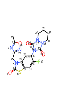 Cc1nc(Cn2c(=O)sc3cc(F)c(-n4c(=O)n5n(c4=O)CCCC5)cc32)no1